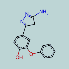 NC1=NN=C(c2ccc(O)c(Oc3ccccc3)c2)C1